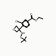 CCOC(=O)c1ccc(C2(NSC(C)(C)C)COC2)c(Cl)c1